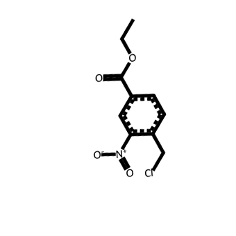 CCOC(=O)c1ccc(CCl)c([N+](=O)[O-])c1